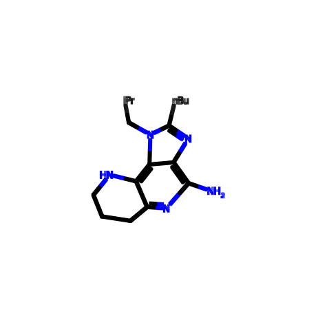 CCCCc1nc2c(N)nc3c(c2n1CC(C)C)NCCC3